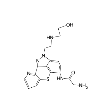 NCC(=O)Nc1ccc2c3c(nn2CCNCCO)-c2ncccc2Sc13